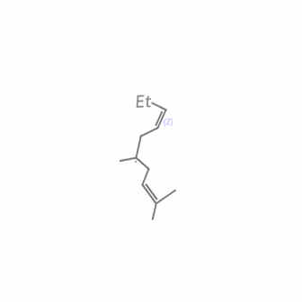 CC/C=C\C[C](C)CC=C(C)C